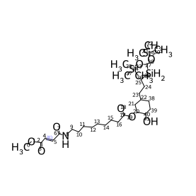 COC(=O)/C=C/C(=O)NCCCCCCCCC(=O)OC1CC(CCC[SiH2]C(O[Si](C)(C)C)O[Si](C)(C)C)CCC1O